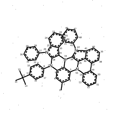 Cc1cc2c3c(c1)N(c1ccc(C(C)(C)C)cc1)c1c(c4ccccc4n1-c1ccccc1)B3c1c3c4c(cccc4n1-c1ccccc1)-c1ccccc1N23